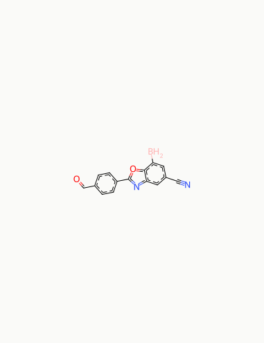 Bc1cc(C#N)cc2nc(-c3ccc(C=O)cc3)oc12